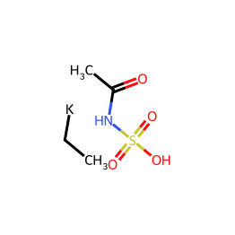 CC(=O)NS(=O)(=O)O.C[CH2][K]